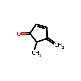 C=C1C=CC(=O)C1C